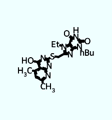 CCCCn1c(=O)[nH]c(=O)c2c1nc(CSc1nc(O)c3c(C)cc(C)nc3n1)n2CC